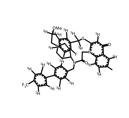 [2H]c1c([2H])c(F)c(F)c(C([2H])([2H])Sc2c([2H])c(=O)c3c([2H])c(C)c([2H])c([2H])c3n2CC(=O)N(Cc2c([2H])c([2H])c(-c3c([2H])c([2H])c(C(F)(F)F)c([2H])c3[2H])c([2H])c2[2H])C2CCN(CC([2H])([2H])OC)CC2)c1[2H]